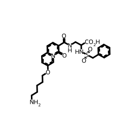 NCCCCCOc1ccc2ccc(C(=O)NCC(NS(=O)(=O)Cc3ccccc3)C(=O)O)c(=O)n2c1